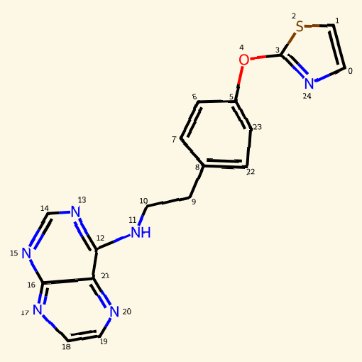 c1csc(Oc2ccc(CCNc3ncnc4nccnc34)cc2)n1